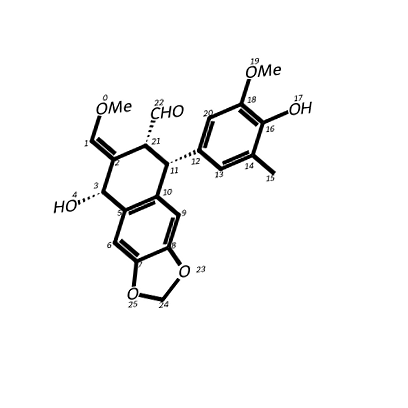 CO/C=C1/[C@@H](O)c2cc3c(cc2[C@@H](c2cc(C)c(O)c(OC)c2)[C@H]1C=O)OCO3